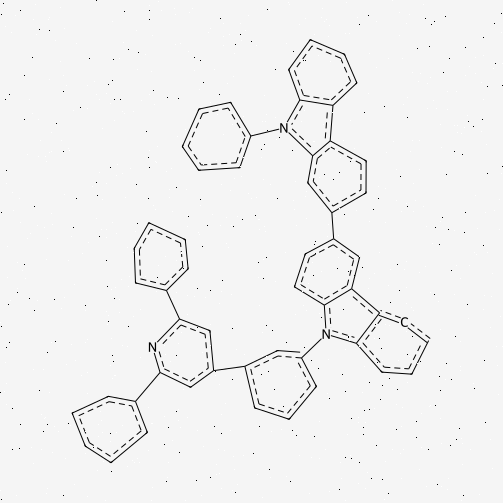 c1ccc(-c2cc(-c3cccc(-n4c5ccccc5c5cc(-c6ccc7c8ccccc8n(-c8ccccc8)c7c6)ccc54)c3)cc(-c3ccccc3)n2)cc1